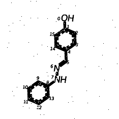 Oc1ccc(C=NNc2ccccc2)cc1